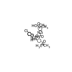 CN(C)C(=O)[C@H]1CC[C@H](NC(=O)c2cc3cc(Cl)ccc3[nH]2)[C@H](NC(=O)c2nc3c(s2)CC(C)(C)N(C(=O)O)C3)C1